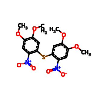 COc1cc(Sc2cc(OC)c(OC)cc2[N+](=O)[O-])c([N+](=O)[O-])cc1OC